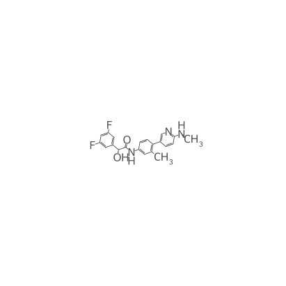 CNc1ccc(-c2ccc(NC(=O)[C@@H](O)c3cc(F)cc(F)c3)cc2C)cn1